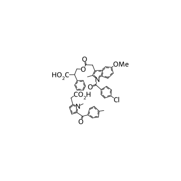 COc1ccc2c(c1)c(CC(=O)OCC(C(=O)O)c1ccccc1)c(C)n2C(=O)c1ccc(Cl)cc1.Cc1ccc(C(=O)c2ccc(CC(=O)O)n2C)cc1